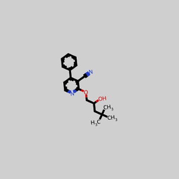 CC(C)(C)CC(O)COc1nccc(-c2ccccc2)c1C#N